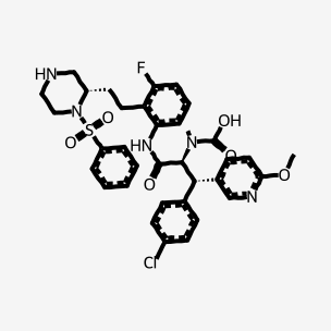 COc1ccc([C@H](c2ccc(Cl)cc2)[C@@H](C(=O)Nc2cccc(F)c2CC[C@H]2CNCCN2S(=O)(=O)c2ccccc2)N(C)C(=O)O)cn1